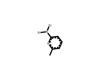 CCN(CC)c1cccc(C)n1